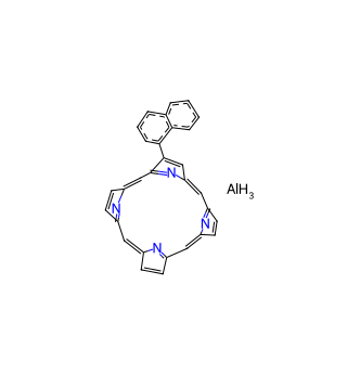 C1=CC2=NC1=CC1=NC(=CC3=NC(=CC4=NC(=C2)C=C4)C=C3c2cccc3ccccc23)C=C1.[AlH3]